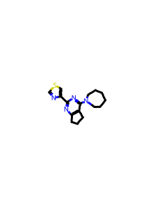 c1nc(-c2nc3c(c(N4CCCCCC4)n2)CCC3)cs1